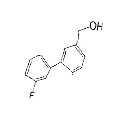 OCc1cc[c]c(-c2cccc(F)c2)c1